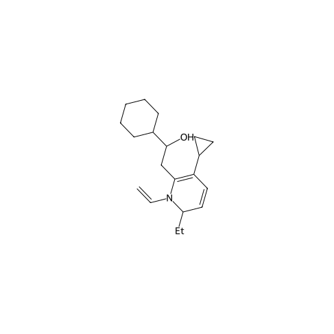 C=CN1C(CC(O)C2CCCCC2)=C(C2CC2)C=CC1CC